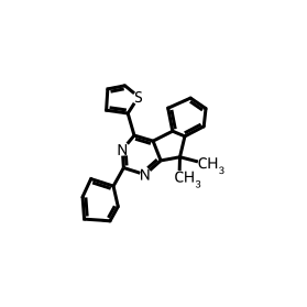 CC1(C)c2ccccc2-c2c(-c3cccs3)nc(-c3ccccc3)nc21